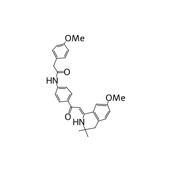 COc1ccc(CC(=O)Nc2ccc(C(=O)C=C3NC(C)(C)Cc4ccc(OC)cc43)cc2)cc1